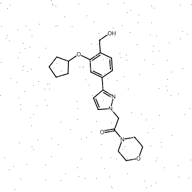 O=C(Cn1ccc(-c2ccc(CO)c(OC3CCCC3)c2)n1)N1CCOCC1